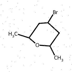 CC1CC(Br)CC(C)O1